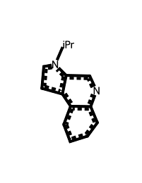 CC(C)n1ccc2c3ccccc3ncc21